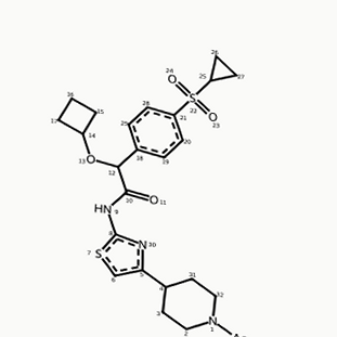 CC(=O)N1CCC(c2csc(NC(=O)C(OC3CCC3)c3ccc(S(=O)(=O)C4CC4)cc3)n2)CC1